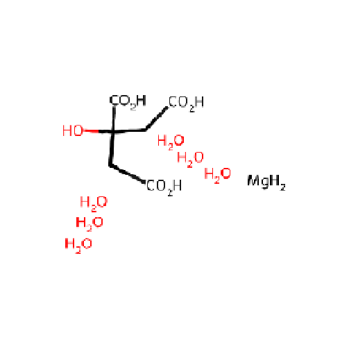 O.O.O.O.O.O.O=C(O)CC(O)(CC(=O)O)C(=O)O.[MgH2]